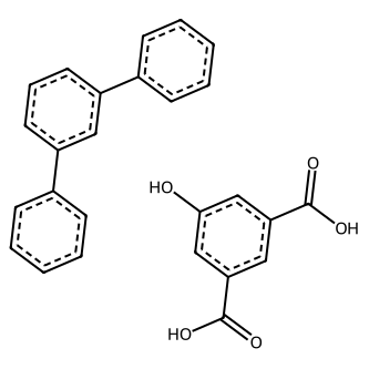 O=C(O)c1cc(O)cc(C(=O)O)c1.c1ccc(-c2cccc(-c3ccccc3)c2)cc1